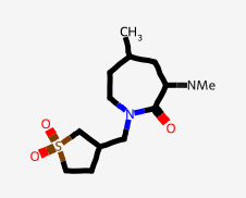 CNC1CC(C)CCN(CC2CCS(=O)(=O)C2)C1=O